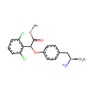 CC(C)(C)OC(=O)C(Oc1ccc(C[C@H](N)C(=O)O)cc1)c1c(Cl)cccc1Cl